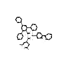 Cc1cc(-c2nc(-c3ccc4c(c3)oc3ccccc34)nc(-c3c(-c4ccccc4)cc(-c4ccccc4)cc3-c3ccccc3)n2)cc(C)n1